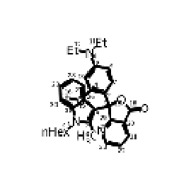 CCCCCCn1c(C)c(C2(c3ccc(N(CC)CC)cc3OCC)OC(=O)c3cccnc32)c2ccccc21